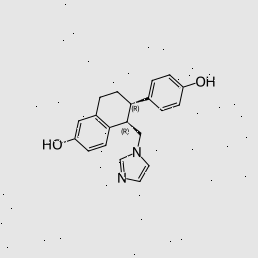 Oc1ccc([C@@H]2CCc3cc(O)ccc3[C@@H]2Cn2ccnc2)cc1